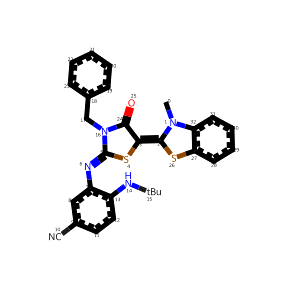 CN1/C(=C2/S/C(=N\c3cc(C#N)ccc3NC(C)(C)C)N(Cc3ccccc3)C2=O)Sc2ccccc21